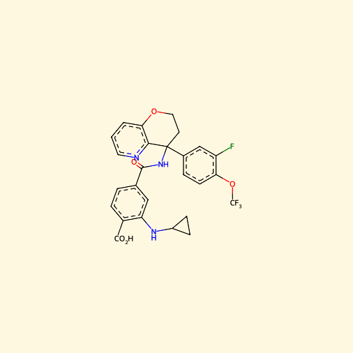 O=C(NC1(c2ccc(OC(F)(F)F)c(F)c2)CCOc2cccnc21)c1ccc(C(=O)O)c(NC2CC2)c1